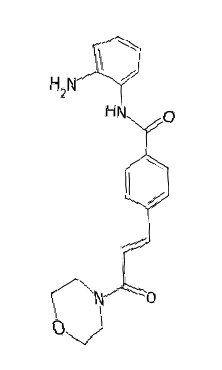 Nc1ccccc1NC(=O)c1ccc(C=CC(=O)N2CCOCC2)cc1